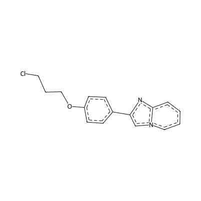 ClCCCOc1ccc(-c2cn3ccccc3n2)cc1